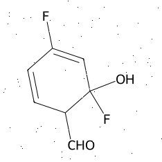 O=CC1C=CC(F)=CC1(O)F